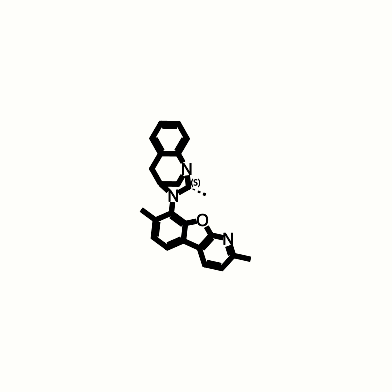 Cc1ccc2c(n1)oc1c(N3C4Cc5ccccc5N(C4)[C@@H]3C)c(C)ccc12